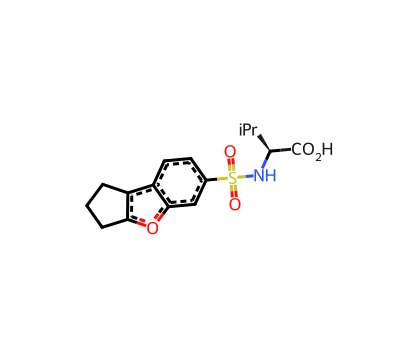 CC(C)[C@H](NS(=O)(=O)c1ccc2c3c(oc2c1)CCC3)C(=O)O